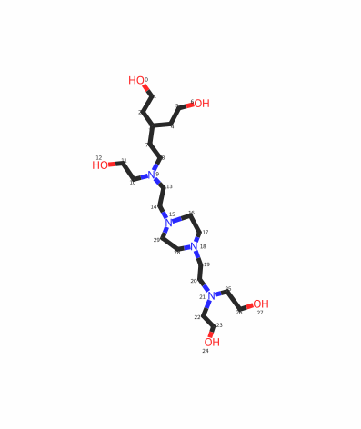 OCCC(CCO)CCN(CCO)CCN1CCN(CCN(CCO)CCO)CC1